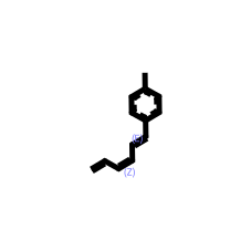 C=C/C=C\C=C\c1ccc(C)cc1